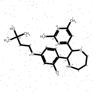 Cc1cc(C2OCCCNC2c2ccc(OCCC(C)(C)O)cc2Cl)nc(N)n1